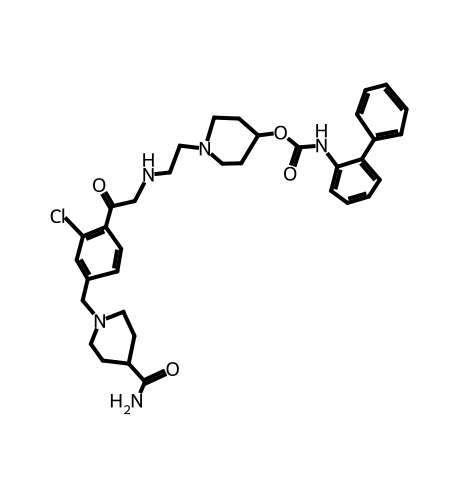 NC(=O)C1CCN(Cc2ccc(C(=O)CNCCN3CCC(OC(=O)Nc4ccccc4-c4ccccc4)CC3)c(Cl)c2)CC1